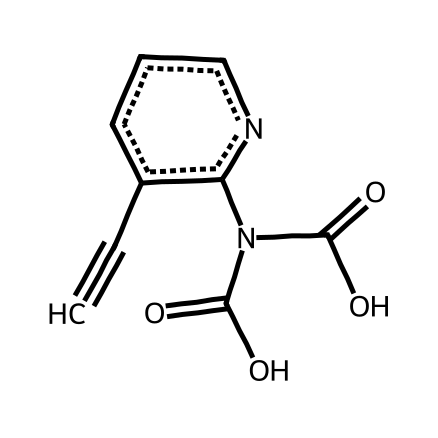 C#Cc1cccnc1N(C(=O)O)C(=O)O